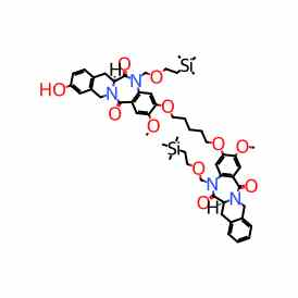 COc1cc2c(cc1OCCCCCOc1cc3c(cc1OC)C(=O)N1Cc4cc(O)ccc4C[C@H]1C(=O)N3COCC[Si](C)(C)C)N(COCC[Si](C)(C)C)C(=O)[C@@H]1Cc3ccccc3CN1C2=O